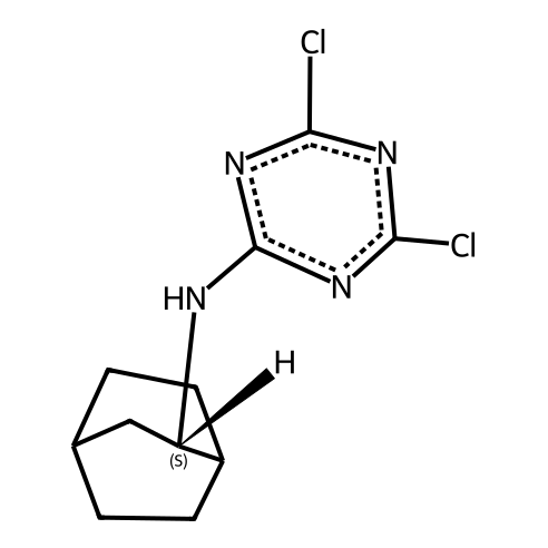 Clc1nc(Cl)nc(N[C@H]2CC3CCC2CC3)n1